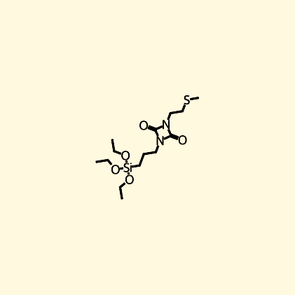 CCO[Si](CCCN1C(=O)N(CCSC)C1=O)(OCC)OCC